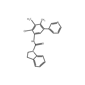 Cc1c(-c2cccnc2)cc(NC(=O)N2CCc3ccccc32)c(Cl)c1C